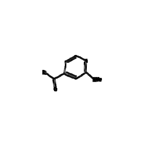 CCC(=O)c1ccnc(NC)c1